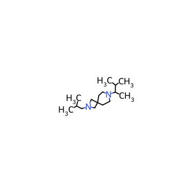 CC(C)CN1CC2(CCN(C(C)C(C)C)CC2)C1